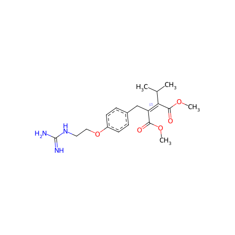 COC(=O)/C(Cc1ccc(OCCNC(=N)N)cc1)=C(\C(=O)OC)C(C)C